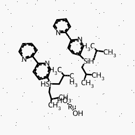 CC(C)C[SiH](CC(C)C)c1ccc(-c2ccccn2)nc1.CC(C)C[SiH](CC(C)C)c1ccc(-c2ccccn2)nc1.[OH][Ru][OH]